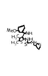 COc1cccc(C(=N)c2c(NC(=S)NCc3cccnc3)sc(C)c2C)c1